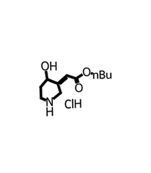 CCCCOC(=O)/C=C1\CNCCC1O.Cl